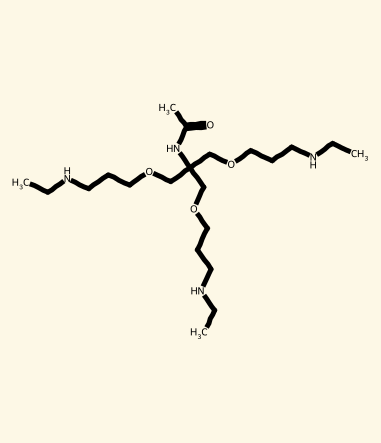 CCNCCCOCC(COCCCNCC)(COCCCNCC)NC(C)=O